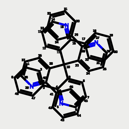 c1ccc(-c2ncccc2C(c2cccnc2-c2ccccc2)(c2cccnc2-c2ccccc2)c2cccnc2-c2ccccc2)cc1